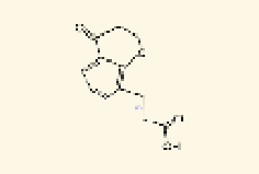 O=C(O)/C=C/c1cccc2c1OCCC2=O